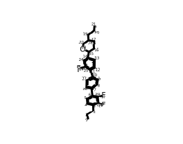 CCCc1ccc(-c2ccc(-c3ccc(C4CCC(CCC)CO4)cc3F)cc2)c(F)c1F